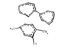 Cc1ccc(C)c(C)c1.c1ccc(-c2ccccc2)cc1